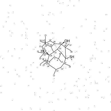 CCCC1C(C)C2C3(S)C(C)CC(C)CC(C)(C)[C@]4(O)C(C)(C)CC(C)(C)CC56C(CC)[C@]14[C@@]25[C@@]6(O)C3(C)C